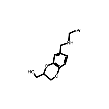 CC(C)CNCc1ccc2c(c1)OC(CO)CO2